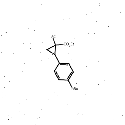 CCCCc1ccc(C2CC2(C(C)=O)C(=O)OCC)cc1